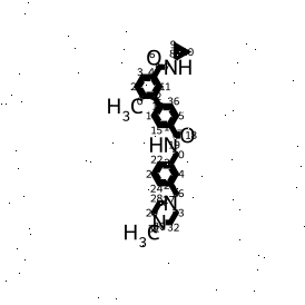 Cc1ccc(C(=O)NC2CC2)cc1-c1ccc(C(=O)NCc2cccc(CN3CCN(C)CC3)c2)cc1